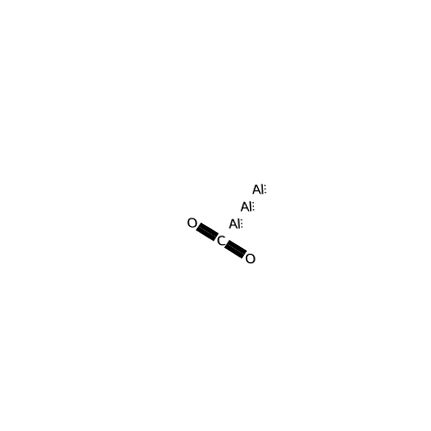 O=C=O.[Al].[Al].[Al]